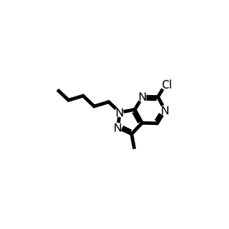 CCCCCn1nc(C)c2cnc(Cl)nc21